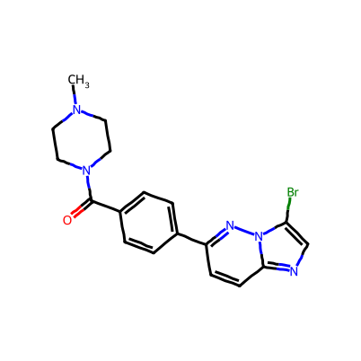 CN1CCN(C(=O)c2ccc(-c3ccc4ncc(Br)n4n3)cc2)CC1